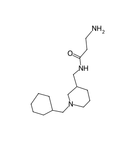 NCCC(=O)NCC1CCCN(CC2CCCCC2)C1